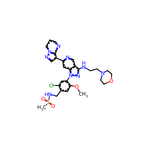 COc1cc(CNS(C)(=O)=O)c(Cl)cc1-n1nc(NCCN2CCOCC2)c2cnc(-c3cnn4cccnc34)cc21